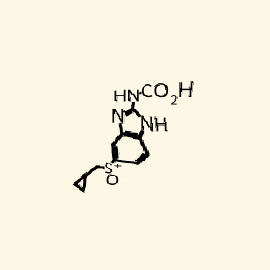 O=C(O)Nc1nc2cc([S+]([O-])CC3CC3)ccc2[nH]1